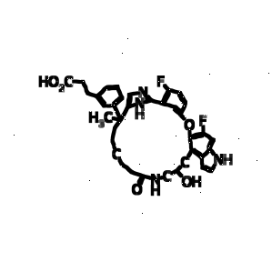 CC1(c2cccc(CCC(=O)O)c2)CCCCCC(=O)NCC(O)Cc2c(c(F)cc3[nH]ccc23)Oc2ccc(F)c(c2)-c2ncc1[nH]2